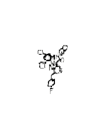 O=C(NN1CC2CCCC2C1)c1c2c(nn1-c1ccc(Cl)cc1Cl)/C(=C/c1ccc(F)cc1)CSC2